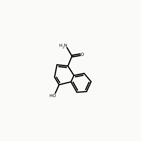 NC(=O)c1ccc(O)c2ccccc12